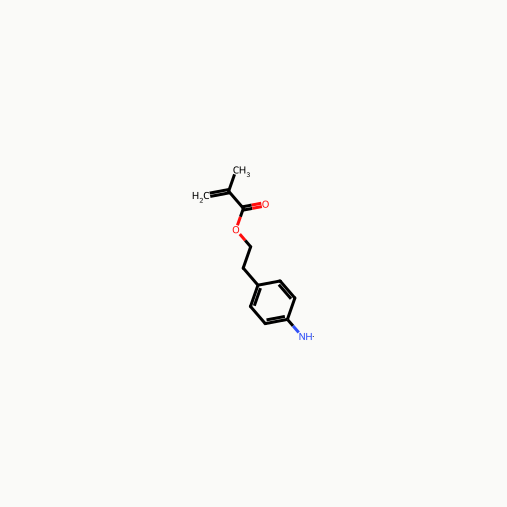 C=C(C)C(=O)OCCc1ccc([NH])cc1